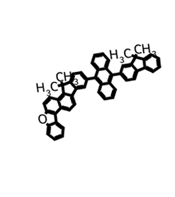 CC1(C)c2ccccc2-c2ccc(-c3c4ccccc4c(-c4ccc5c(c4)-c4ccc6c(ccc7oc8ccccc8c76)c4C5(C)C)c4ccccc34)cc21